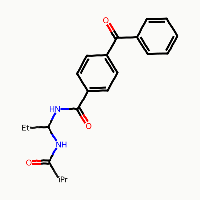 CCC(NC(=O)c1ccc(C(=O)c2ccccc2)cc1)NC(=O)C(C)C